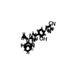 N#Cc1cn(-c2ccc(-c3cnc(N(C4CC4)[C@H]4C[C@H]5CCC[C@H](C5)[C@H]4F)nn3)c(O)c2)nn1